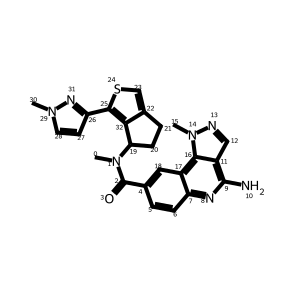 CN(C(=O)c1ccc2nc(N)c3cnn(C)c3c2c1)C1CCc2csc(-c3ccn(C)n3)c21